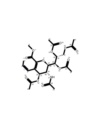 C/C=C\C1=C(C(=O)OC)O[C@@H]([C@H](OC(C)=O)[C@@H](COC(C)=O)OC(C)=O)[C@H](NC(C)=O)[C@H]1OC(C)=O